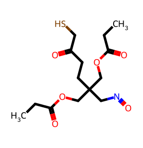 CCC(=O)OCC(CCC(=O)CS)(CN=O)COC(=O)CC